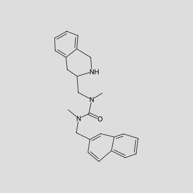 CN(Cc1ccc2ccccc2c1)C(=O)N(C)CC1Cc2ccccc2CN1